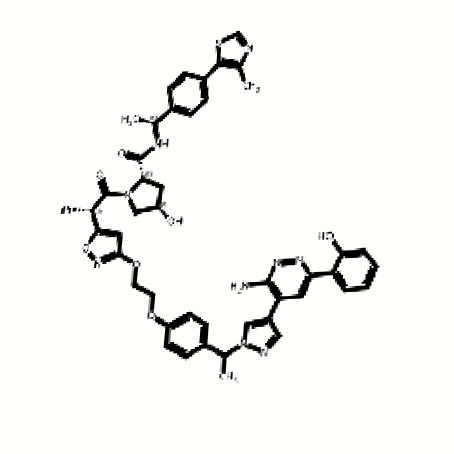 Cc1ncsc1-c1ccc([C@H](C)NC(=O)[C@@H]2C[C@@H](O)CN2C(=O)[C@H](c2cc(OCCOc3ccc(C(C)n4cc(-c5cc(-c6ccccc6O)nnc5N)cn4)cc3)no2)C(C)C)cc1